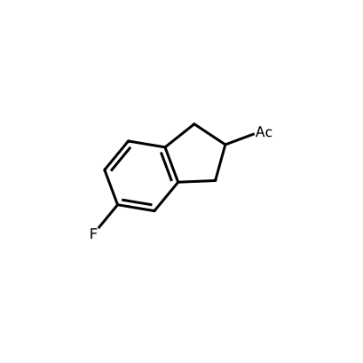 CC(=O)C1Cc2ccc(F)cc2C1